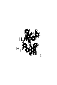 Cc1ccccc1-c1cccc(-c2c(C#N)c(N)nc(N3CCCCC3)c2C#N)c1.N#Cc1c(N)nc(N2CCCCC2)c(C#N)c1-c1cccc(-c2cccc(F)c2)c1